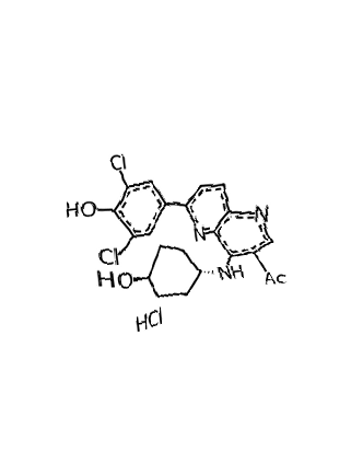 CC(=O)c1cnc2ccc(-c3cc(Cl)c(O)c(Cl)c3)nc2c1N[C@H]1CC[C@H](O)CC1.Cl